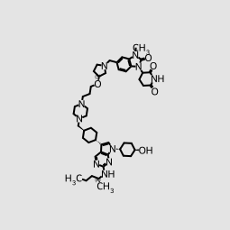 CCC[C@@H](C)Nc1ncc2c(n1)n([C@H]1CC[C@H](O)CC1)cc2[C@H]1CC[C@H](CN2CCN(CCCO[C@H]3CCN(Cc4ccc5c(c4)n(C)c(=O)n5C4CCC(=O)NC4=O)C3)CC2)CC1